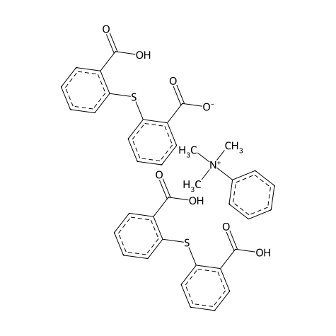 C[N+](C)(C)c1ccccc1.O=C(O)c1ccccc1Sc1ccccc1C(=O)O.O=C([O-])c1ccccc1Sc1ccccc1C(=O)O